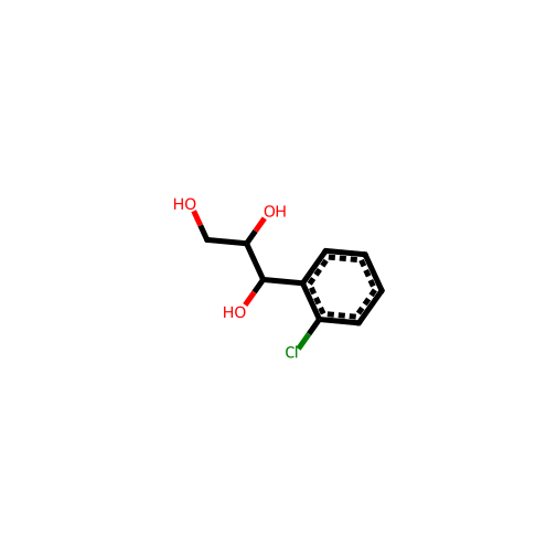 OCC(O)C(O)c1ccccc1Cl